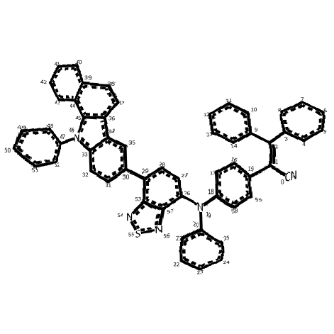 N#CC(=C(c1ccccc1)c1ccccc1)c1ccc(N(c2ccccc2)c2ccc(-c3ccc4c(c3)c3ccc5ccccc5c3n4-c3ccccc3)c3nsnc23)cc1